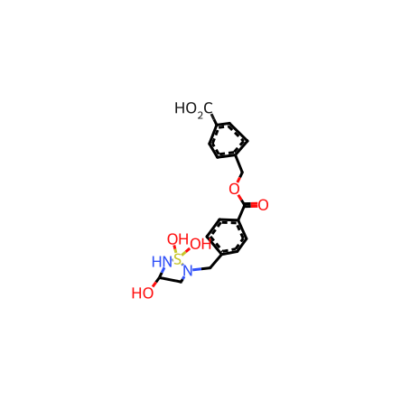 O=C(O)c1ccc(COC(=O)c2ccc(CN3CC(O)NS3(O)O)cc2)cc1